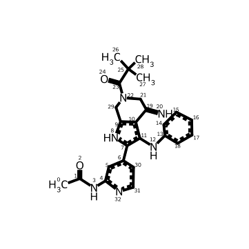 CC(=O)Nc1cc(-c2[nH]c3c(c2Nc2ccccc2)C(=N)CN(C(=O)C(C)(C)C)C3)ccn1